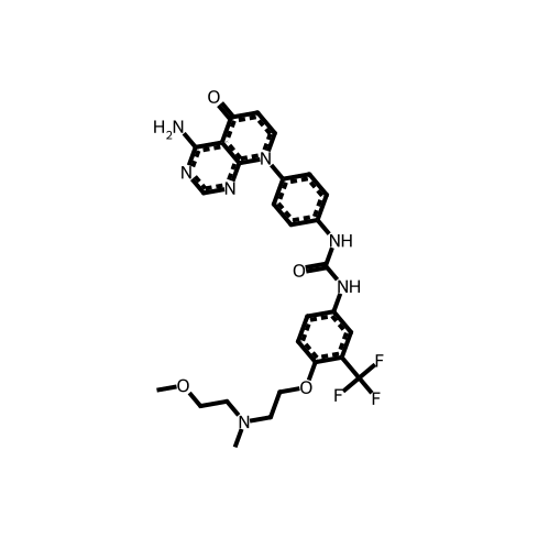 COCCN(C)CCOc1ccc(NC(=O)Nc2ccc(-n3ccc(=O)c4c(N)ncnc43)cc2)cc1C(F)(F)F